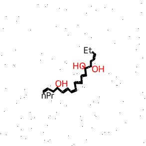 CC/C=C\C[C@H](O)[C@H](O)/C=C/C=C/C=C\C=C\[C@H](O)C/C=C\CCC